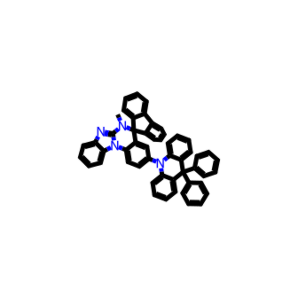 CN1c2nc3ccccc3n2-c2ccc(N3c4ccccc4C(c4ccccc4)(c4ccccc4)c4ccccc43)cc2C12c1ccccc1-c1ccccc12